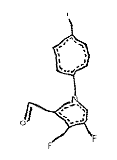 O=Cc1c(F)c(F)cn1-c1ccc(I)cc1